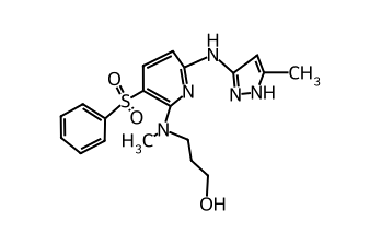 Cc1cc(Nc2ccc(S(=O)(=O)c3ccccc3)c(N(C)CCCO)n2)n[nH]1